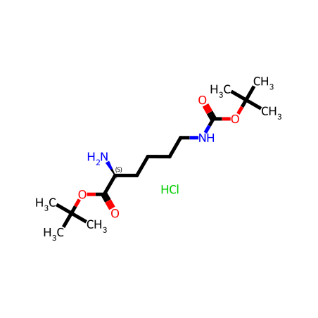 CC(C)(C)OC(=O)NCCCC[C@H](N)C(=O)OC(C)(C)C.Cl